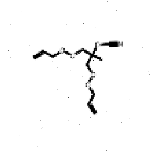 C=CCOOCC(C)(COOCC=C)OC#N